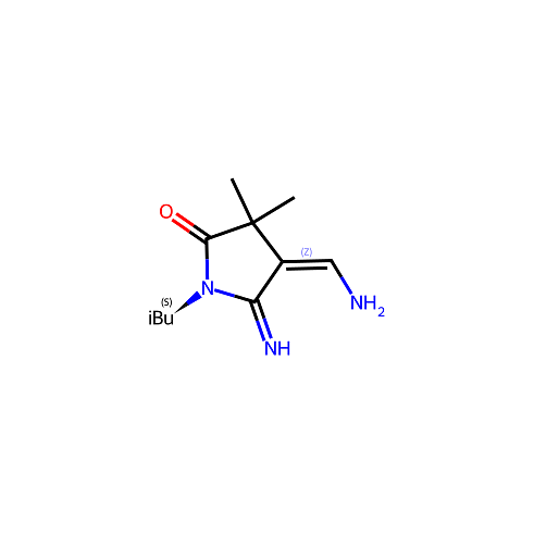 CC[C@H](C)N1C(=N)/C(=C\N)C(C)(C)C1=O